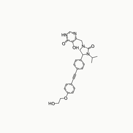 CC(C)N1C(=O)N(Cc2nc[nH]c(=O)c2O)CC1c1ccc(C#Cc2ccc(OCCO)cc2)cc1